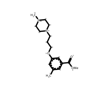 COC(=O)c1cc(C)cc(OCCCN2CCN(C)CC2)c1